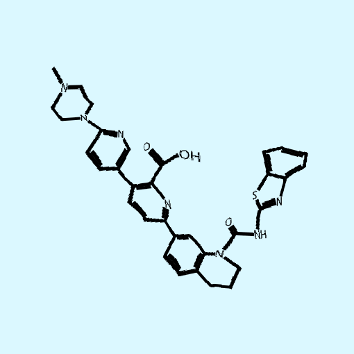 CN1CCN(c2ccc(-c3ccc(-c4ccc5c(c4)N(C(=O)Nc4nc6ccccc6s4)CCC5)nc3C(=O)O)cn2)CC1